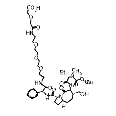 CC[C@@H](C(=O)N[C@@H]1C(=O)N2[C@@H](CC[C@@H]1CO)CC[C@H]2C(=O)N[C@H](C(=O)NCCOCCOCCOCCNC(=O)COCC(=O)O)c1ccccc1)N(C)C(=O)OC(C)(C)C